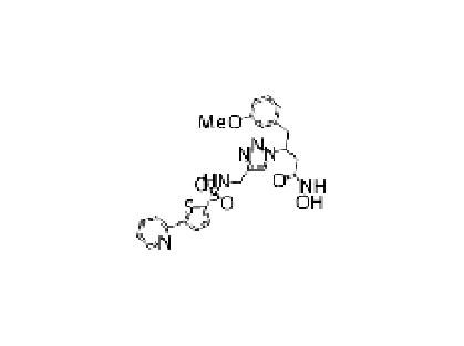 COc1cccc(C[C@@H](CC(=O)NO)n2cc(CNS(=O)(=O)c3ccc(-c4ccccn4)s3)nn2)c1